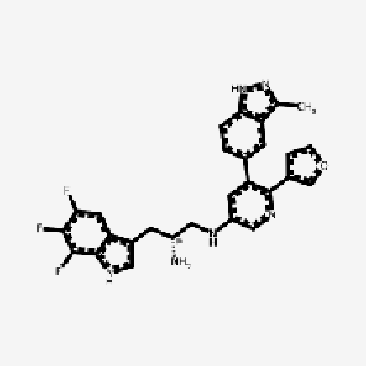 Cc1n[nH]c2ccc(-c3cc(NC[C@H](N)Cc4c[nH]c5c(F)c(F)c(F)cc45)cnc3-c3ccoc3)cc12